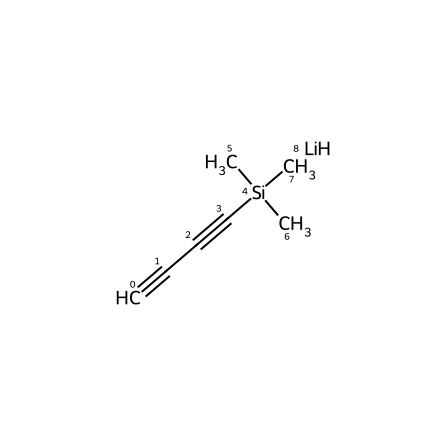 C#CC#C[Si](C)(C)C.[LiH]